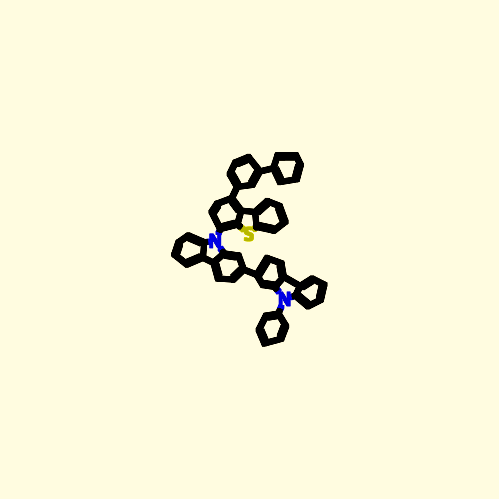 c1ccc(-c2cccc(-c3ccc(-n4c5ccccc5c5ccc(-c6ccc7c8ccccc8n(-c8ccccc8)c7c6)cc54)c4sc5ccccc5c34)c2)cc1